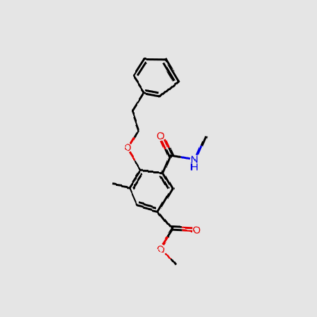 CNC(=O)c1cc(C(=O)OC)cc(C)c1OCCc1ccccc1